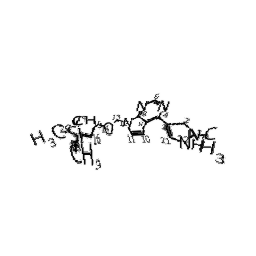 CN1CC(c2ncnc3c2ccn3COCC[Si](C)(C)C)=CN1